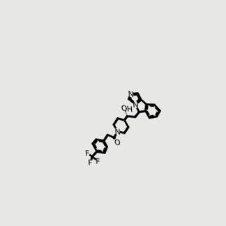 O=C(Cc1ccc(C(F)(F)F)cc1)N1CCC([C@H](O)CC2c3ccccc3-c3cncn32)CC1